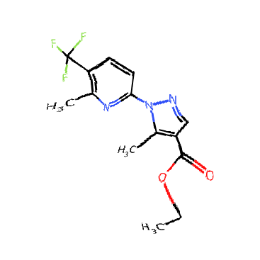 CCOC(=O)c1cnn(-c2ccc(C(F)(F)F)c(C)n2)c1C